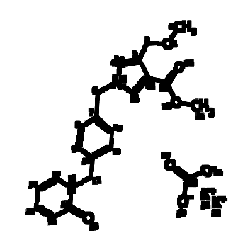 COCc1nn(Cc2ccc(Cn3ccccc3=O)cc2)cc1C(=O)OC.O=C([O-])[O-].[K+].[K+]